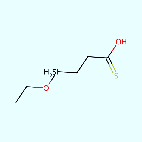 CCO[SiH2]CCC(O)=S